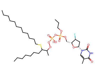 CCCCCCCCCCCCSC(CCCCCCC)C(C)OOP(=O)(O)OP(=O)(OCCC)OC[C@H]1O[C@@H](n2cc(C)c(=O)[nH]c2=O)C[C@@H]1F